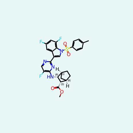 COC(=O)[C@H]1[C@@H]2CC[C@@H](C2)[C@H]1Nc1nc(-c2cn(S(=O)(=O)c3ccc(C)cc3)c3c(F)cc(F)cc23)ncc1F